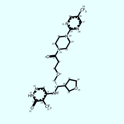 O=C(CCOC[C@@H](Nc1cn[nH]c(=O)c1C(F)(F)F)C1CCOC1)N1CCN(c2ncc(C(F)(F)F)cn2)CC1